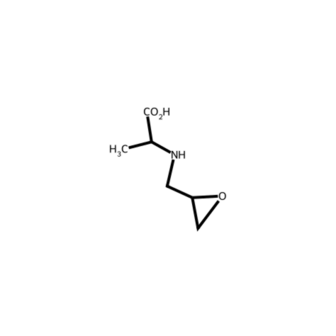 CC(NCC1CO1)C(=O)O